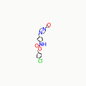 O=C(Nc1ccc(CN2CCN(C3COC3)CC2)cc1)OCc1ccc(Cl)cc1